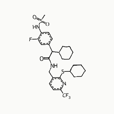 CS(=O)(=O)Nc1ccc(C(C(=O)NCc2ccc(C(F)(F)F)nc2SC2CCCCC2)C2CCCCC2)cc1F